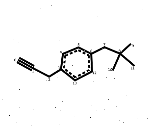 [C]#CCc1ccc(CC(C)(C)C)cc1